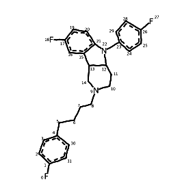 Fc1ccc(CCCCN2CCC3C(C2)c2cc(F)ccc2N3c2ccc(F)cc2)cc1